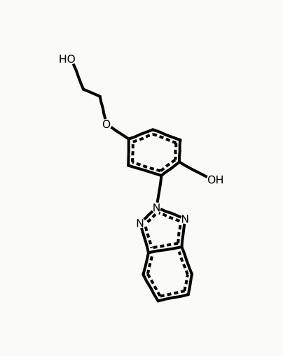 OCCOc1ccc(O)c(-n2nc3ccccc3n2)c1